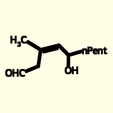 CCCCCC(O)C=C(C)CC=O